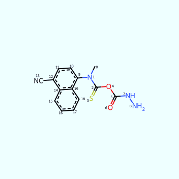 CN(C(=S)OC(=O)NN)c1ccc(C#N)c2ccccc12